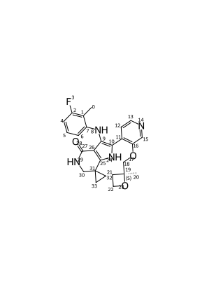 Cc1c(F)cccc1Nc1c(-c2ccncc2OC[C@]2(C)CCO2)[nH]c2c1C(=O)NCC21CC1